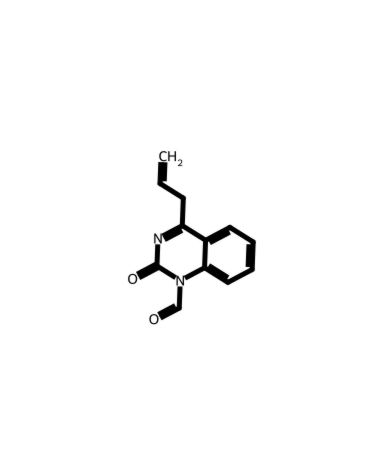 C=CCc1nc(=O)n(C=O)c2ccccc12